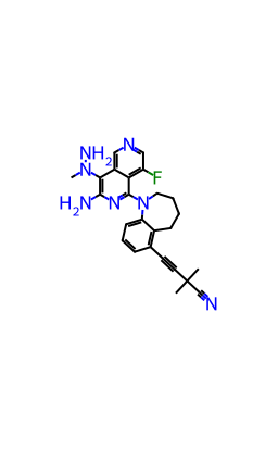 CN(N)c1c(N)nc(N2CCCCc3c(C#CC(C)(C)C#N)cccc32)c2c(F)cncc12